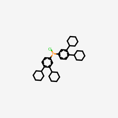 ClP(c1ccc(C2CCCCC2)c(C2CCCCC2)c1)c1ccc(C2CCCCC2)c(C2CCCCC2)c1